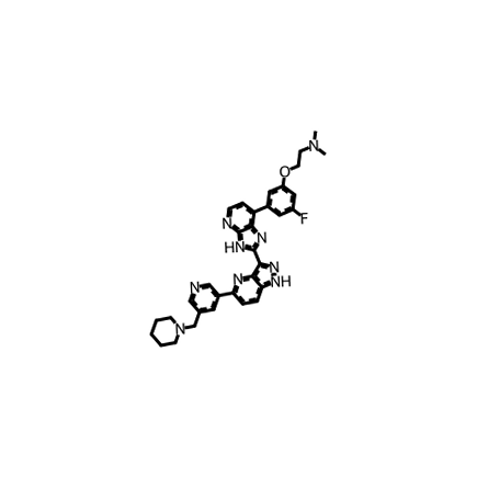 CN(C)CCOc1cc(F)cc(-c2ccnc3[nH]c(-c4n[nH]c5ccc(-c6cncc(CN7CCCCC7)c6)nc45)nc23)c1